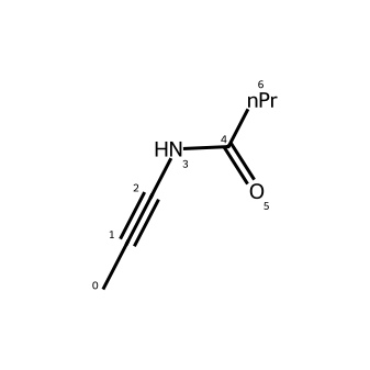 CC#CNC(=O)CCC